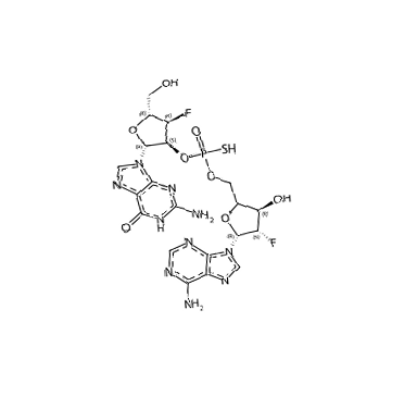 Nc1nc2c(ncn2[C@@H]2O[C@H](CO)[C@@H](F)[C@H]2OP(=O)(S)OCC2O[C@@H](n3cnc4c(N)ncnc43)[C@@H](F)[C@@H]2O)c(=O)[nH]1